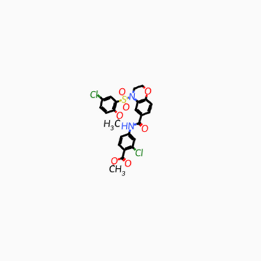 COC(=O)c1ccc(NC(=O)c2ccc3c(c2)N(S(=O)(=O)c2cc(Cl)ccc2OC)CCO3)cc1Cl